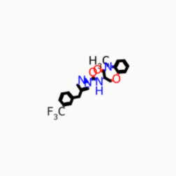 CN1C(=O)[C@@H](NC(=O)n2cc(Cc3cccc(C(F)(F)F)c3)cn2)COc2ccccc21